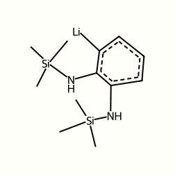 [Li][c]1cccc(N[Si](C)(C)C)c1N[Si](C)(C)C